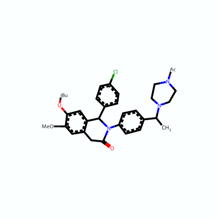 CCC(C)Oc1cc2c(cc1OC)CC(=O)N(c1ccc(C(C)N3CCN(C(C)=O)CC3)cc1)C2c1ccc(Cl)cc1